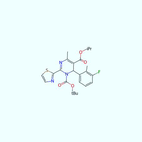 CC1=C(C(=O)OC(C)C)C(c2cccc(F)c2C)N(C(=O)OC(C)(C)C)C(c2nccs2)=N1